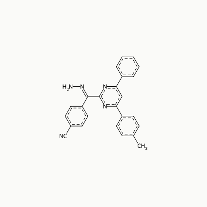 Cc1ccc(-c2cc(-c3ccccc3)nc(/C(=N/N)c3ccc(C#N)cc3)n2)cc1